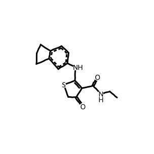 CCNC(=O)C1=C(Nc2ccc3c(c2)CCC3)SCC1=O